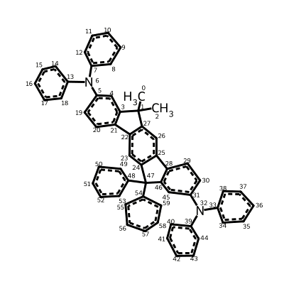 CC1(C)c2cc(N(c3ccccc3)c3ccccc3)ccc2-c2cc3c(cc21)-c1ccc(N(c2ccccc2)c2ccccc2)cc1C3(c1ccccc1)c1ccccc1